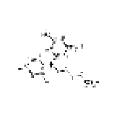 Cc1ccc(N(CCCCS(=O)(=O)O)c2cc(O)cc(O)c2)c(C)c1